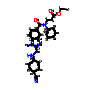 CCOC(=O)CCN(C(=O)c1ccc2c(c1)nc(CNc1ccc(C#N)cc1)n2C)c1ccccc1